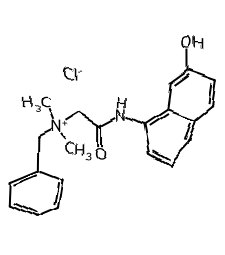 C[N+](C)(CC(=O)Nc1cccc2ccc(O)cc12)Cc1ccccc1.[Cl-]